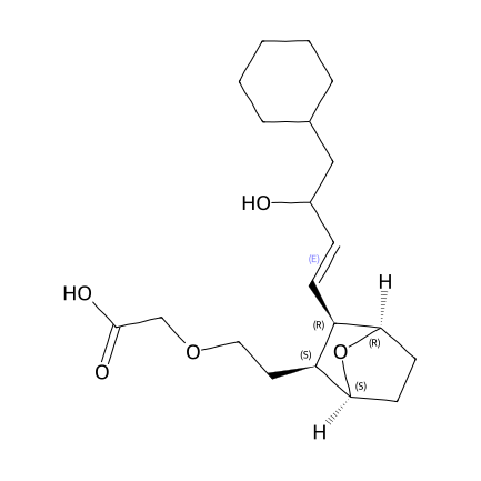 O=C(O)COCC[C@H]1[C@@H](/C=C/C(O)CC2CCCCC2)[C@H]2CC[C@@H]1O2